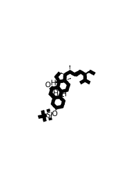 CC[C@H](/C=C/[C@@H](C)[C@H]1CC[C@H]2[C@@H]3C(=O)C=C4C[C@@H](O[Si](C)(C)C(C)(C)C)CC[C@]4(C)[C@H]3CC[C@]12C)C(C)C